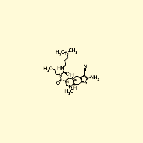 CCCN(C(=O)NCCCN(C)C)C(=O)[C@@H]1C[C@@H]2Cc3c(sc(N)c3C#N)C[C@H]2N(C)C1